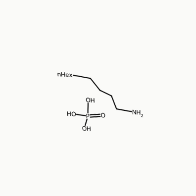 CCCCCCCCCCN.O=P(O)(O)O